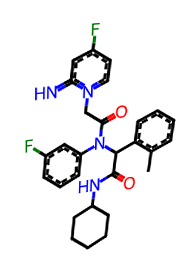 Cc1ccccc1C(C(=O)NC1CCCCC1)N(C(=O)Cn1ccc(F)cc1=N)c1cccc(F)c1